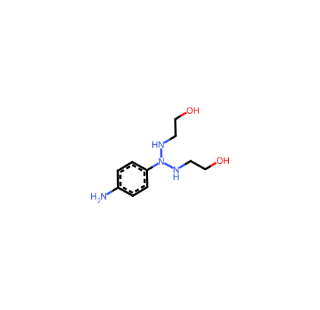 Nc1ccc(N(NCCO)NCCO)cc1